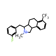 CN1CC2c3cccc(C(F)(F)F)c3CCC2C1Cc1cccc(F)c1